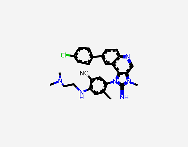 Cc1cc(NCCN(C)C)c(C#N)cc1-n1c(=N)n(C)c2cnc3ccc(-c4ccc(Cl)cc4)cc3c21